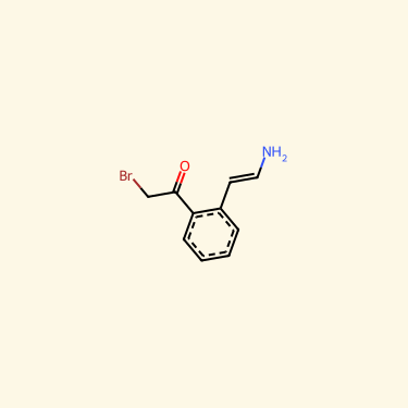 NC=Cc1ccccc1C(=O)CBr